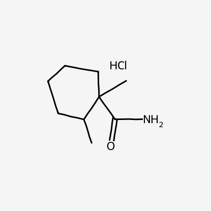 CC1CCCCC1(C)C(N)=O.Cl